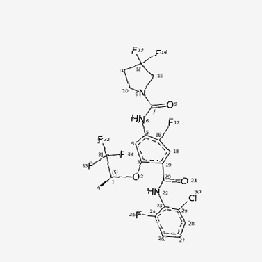 C[C@H](Oc1cc(NC(=O)N2CCC(F)(F)C2)c(F)cc1C(=O)Nc1c(F)cccc1Cl)C(F)(F)F